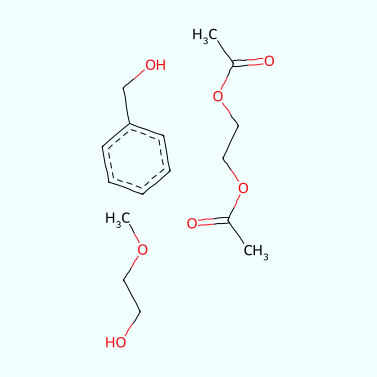 CC(=O)OCCOC(C)=O.COCCO.OCc1ccccc1